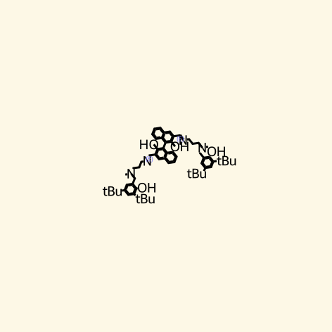 CN(CCC/N=C/c1cc2ccccc2c(-c2c(O)c(/C=N/CCCN(C)Cc3cc(C(C)(C)C)cc(C(C)(C)C)c3O)cc3ccccc23)c1O)Cc1cc(C(C)(C)C)cc(C(C)(C)C)c1O